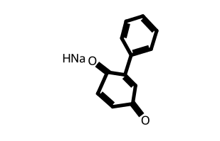 O=C1C=CC(=O)C(c2ccccc2)=C1.[NaH]